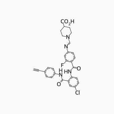 C#Cc1ccc(NC(=O)c2cc(Cl)ccc2NC(=O)c2ccc(N=CN3CCC(C(=O)O)CC3)cc2F)cc1